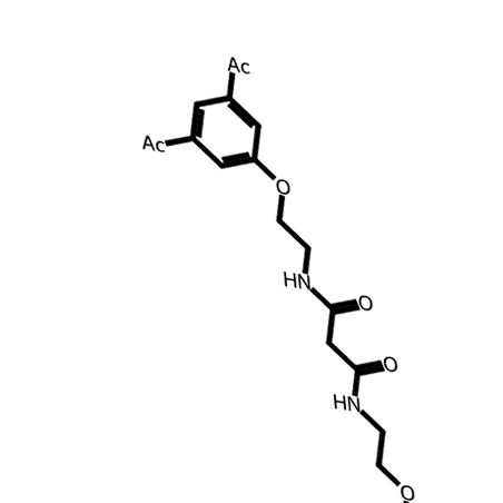 CCCOCCNC(=O)CC(=O)NCCOc1cc(C(C)=O)cc(C(C)=O)c1